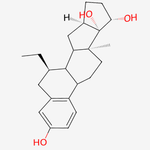 CC[C@@H]1Cc2cc(O)ccc2C2CC[C@@]3(C)C(C[C@H]4CC[C@H](O)[C@]43O)C21